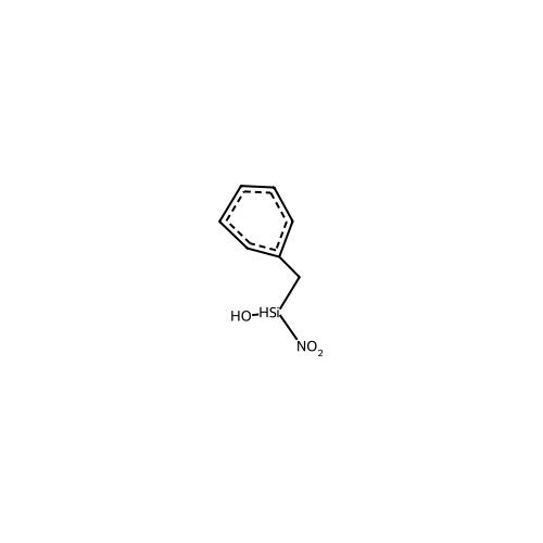 O=[N+]([O-])[SiH](O)Cc1ccccc1